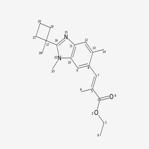 CCOC(=O)/C(C)=C/c1cc2c(cc1C)nc(C1(C)CCC1)n2C